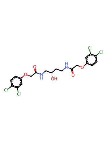 O=C(COc1ccc(Cl)c(Cl)c1)NCC[C@H](O)CNC(=O)COc1ccc(Cl)c(Cl)c1